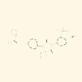 CNC(=O)C1(CCc2ccc(N3C(=S)N(c4ccc(C#N)c(C(F)(F)F)c4F)C(=O)C34CCC4)cc2)CCC1